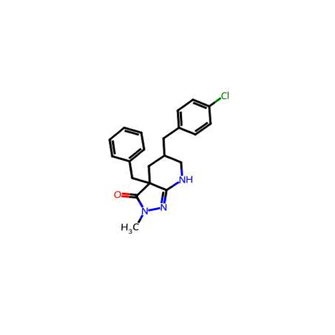 CN1N=C2NCC(Cc3ccc(Cl)cc3)CC2(Cc2ccccc2)C1=O